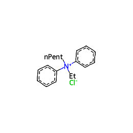 CCCCC[N+](CC)(c1ccccc1)c1ccccc1.[Cl-]